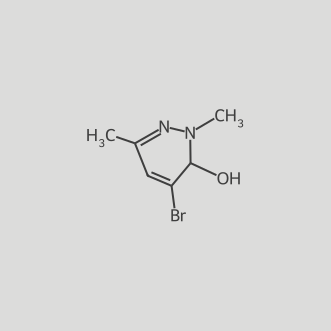 CC1=NN(C)C(O)C(Br)=C1